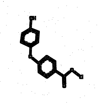 O=C(OCl)c1ccc(Oc2ccc(O)cc2)cc1